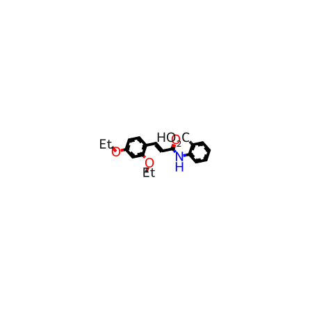 CCOc1ccc(/C=C/C(=O)Nc2ccccc2C(=O)O)c(OCC)c1